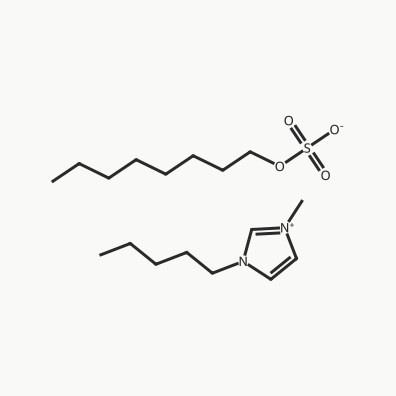 CCCCCCCCOS(=O)(=O)[O-].CCCCCn1cc[n+](C)c1